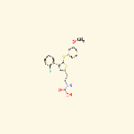 COc1cccc(Sc2sc(CCNC(=O)O)cc2-c2ccccc2F)c1